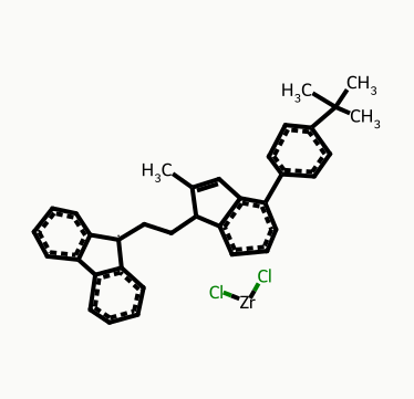 CC1=Cc2c(-c3ccc(C(C)(C)C)cc3)cccc2C1CC[C]1c2ccccc2-c2ccccc21.[Cl][Zr][Cl]